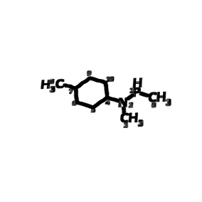 CPN(C)C1CCC(C)CC1